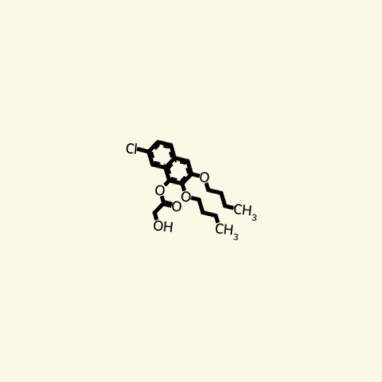 CCCCOc1cc2ccc(Cl)cc2c(OC(=O)CO)c1OCCCC